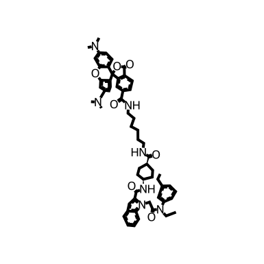 CCc1cccc(N(CC)C(=O)Cn2c(C(=O)N[C@H]3CC[C@H](C(=O)NCCCCCCNC(=O)c4ccc5c(c4)C4(OC5=O)c5ccc(N(C)C)cc5Oc5cc(N(C)C)ccc54)CC3)cc3ccccc32)c1